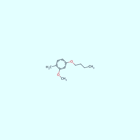 [CH2]c1ccc(OCCCC)cc1OC